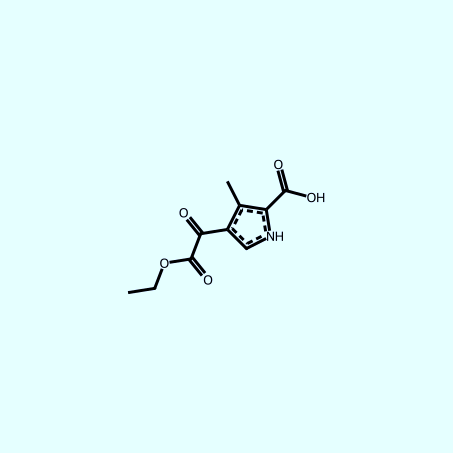 CCOC(=O)C(=O)c1c[nH]c(C(=O)O)c1C